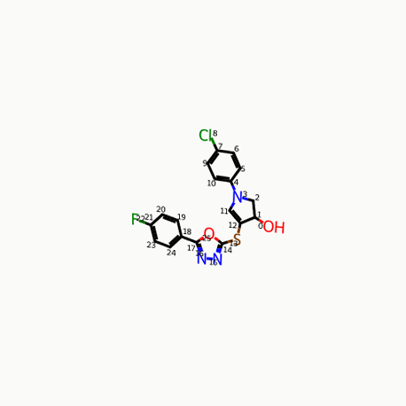 OC1CN(c2ccc(Cl)cc2)C=C1Sc1nnc(-c2ccc(F)cc2)o1